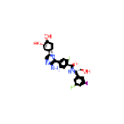 Nc1ncc([C@@H]2CC[C@@H](O)[C@H](O)C2)nc1-c1ccc(C(=O)N[C@H](CO)c2cc(F)cc(I)c2)c(F)c1